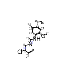 C=C(C)/C(Cl)=C\N=C(/C)Nc1cc(C)c(CC)cc1OC